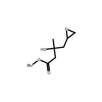 CC(O)(CC(=O)OC(C)(C)C)CC1CO1